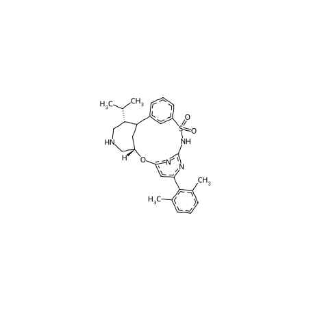 Cc1cccc(C)c1-c1cc2nc(n1)NS(=O)(=O)c1cccc(c1)C1C[C@@H](CNC[C@@H]1C(C)C)O2